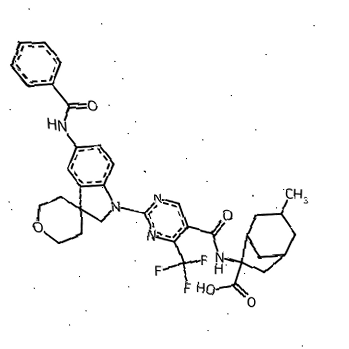 CC1CC2CC(C1)C(NC(=O)c1cnc(N3CC4(CCOCC4)c4cc(NC(=O)c5ccccc5)ccc43)nc1C(F)(F)F)(C(=O)O)C2